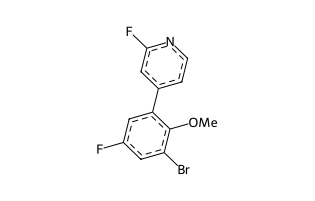 COc1c(Br)cc(F)cc1-c1ccnc(F)c1